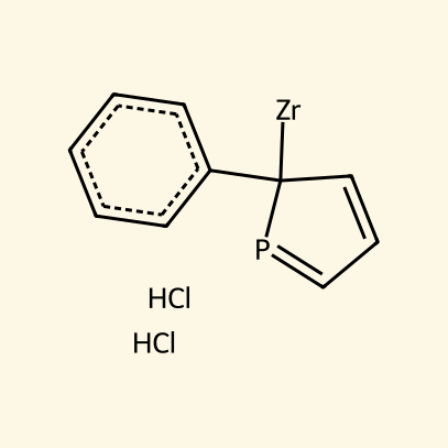 Cl.Cl.[Zr][C]1(c2ccccc2)C=CC=P1